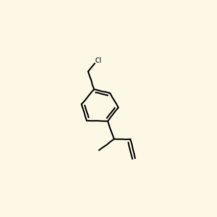 C=CC(C)c1ccc(CCl)cc1